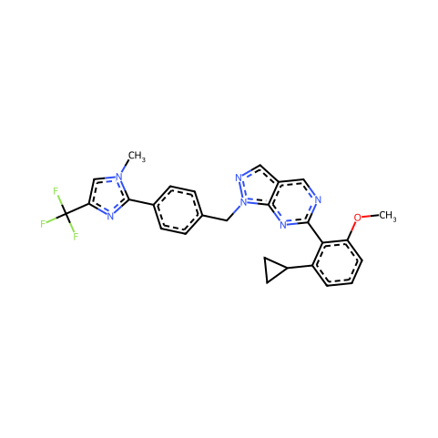 COc1cccc(C2CC2)c1-c1ncc2cnn(Cc3ccc(-c4nc(C(F)(F)F)cn4C)cc3)c2n1